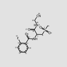 CS(=O)(=O)CC(NC(=O)c1ccccc1F)C(=O)NCC#N